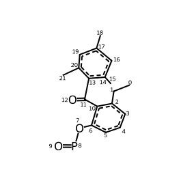 CCc1cccc(OP=O)c1C(=O)c1c(C)cc(C)cc1C